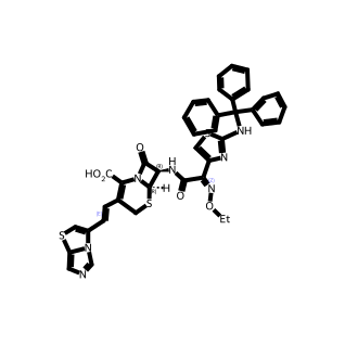 CCO/N=C(\C(=O)N[C@@H]1C(=O)N2C(C(=O)O)=C(/C=C/c3csc4cncn34)CS[C@H]12)c1csc(NC(c2ccccc2)(c2ccccc2)c2ccccc2)n1